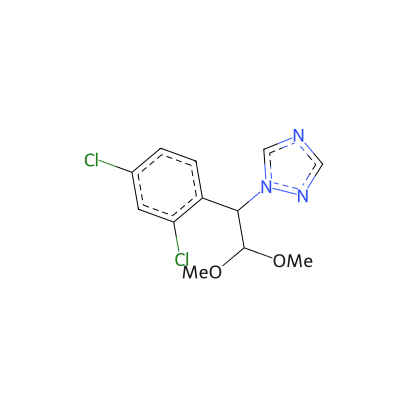 COC(OC)C(c1ccc(Cl)cc1Cl)n1cncn1